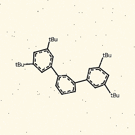 CC(C)(C)c1cc(-c2[c]c(-c3cc(C(C)(C)C)cc(C(C)(C)C)c3)ccc2)cc(C(C)(C)C)c1